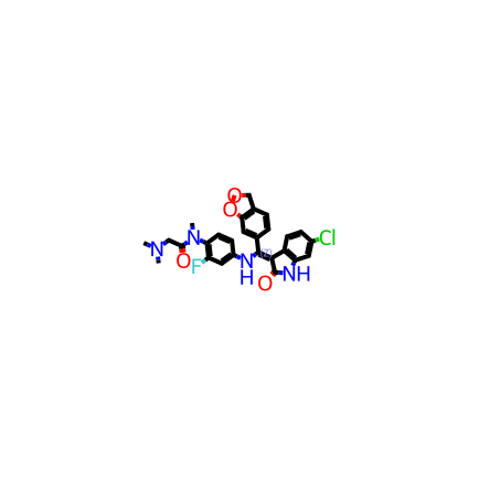 CN(C)CC(=O)N(C)c1ccc(N/C(=C2\C(=O)Nc3cc(Cl)ccc32)c2ccc3c(c2)OOC3)cc1F